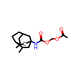 CC(=O)OCOC(=O)NC12CC3CCC(C(C)C1)C(C)(C3)C2